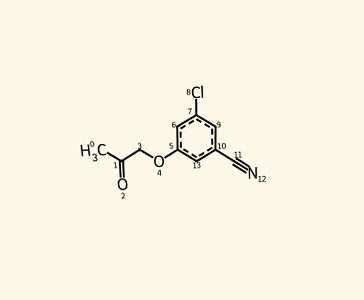 CC(=O)COc1cc(Cl)cc(C#N)c1